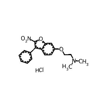 CN(C)CCOc1ccc2c(-c3ccccc3)c([N+](=O)[O-])oc2c1.Cl